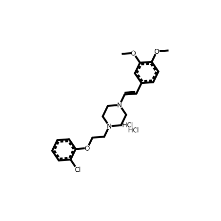 COc1ccc(C=CN2CCN(CCOc3ccccc3Cl)CC2)cc1OC.Cl.Cl